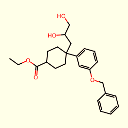 CCOC(=O)C1CCC(CC(O)CO)(c2cccc(OCc3ccccc3)c2)CC1